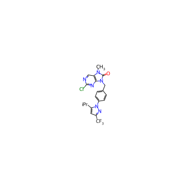 CC(C)c1cc(C(F)(F)F)nn1-c1ccc(Cn2c(=O)n(C)c3cnc(Cl)nc32)cc1